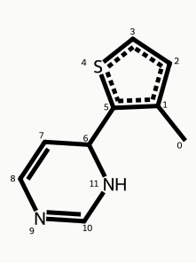 Cc1ccsc1C1C=CN=CN1